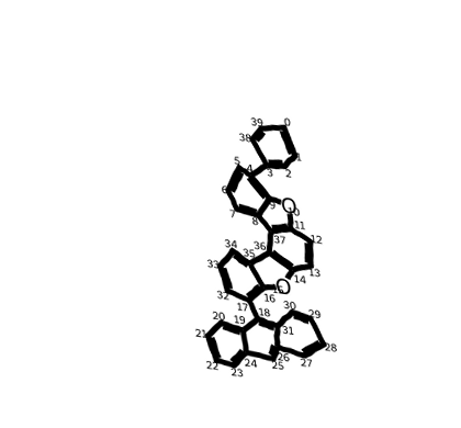 c1ccc(-c2cccc3c2oc2ccc4oc5c(-c6c7ccccc7cc7ccccc67)cccc5c4c23)cc1